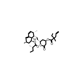 C=CCC(C)(CC)C(=O)O[C@H]1CC(=O)O[C@H](CC[C@@H]2[C@@H]3C(=C[C@H](C)C[C@@H]3OC(=O)[C@@H](C)CC)C=C[C@@H]2C)C1